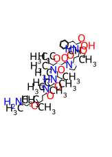 CC[C@H](C)[C@@H]([C@@H](CC(=O)N1CCC[C@H]1[C@H](OC)[C@@H](C)C(=O)N[C@@H](Cc1ccccc1)C(=O)O)OC)N(C)C(=O)[C@@H](NC(=O)C(C)(C)N(C)C(=O)CCC(C)(C)OCCC(C)(C)N)C(C)C